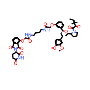 CCC(C)(C)C(=O)C(=O)N1CCCC1C(C)O[C@H](CCc1ccc(OC)c(OC)c1)c1cccc(OCC(=O)NCCCCNC(=O)COc2cccc3c2C(=O)N(C2CCC(=O)NC2=O)C3=O)c1